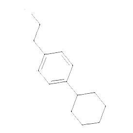 CC(=O)CCc1ccc(C2CCCCC2)cc1